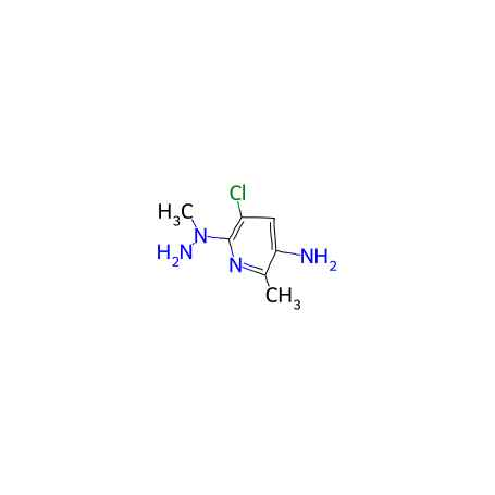 Cc1nc(N(C)N)c(Cl)cc1N